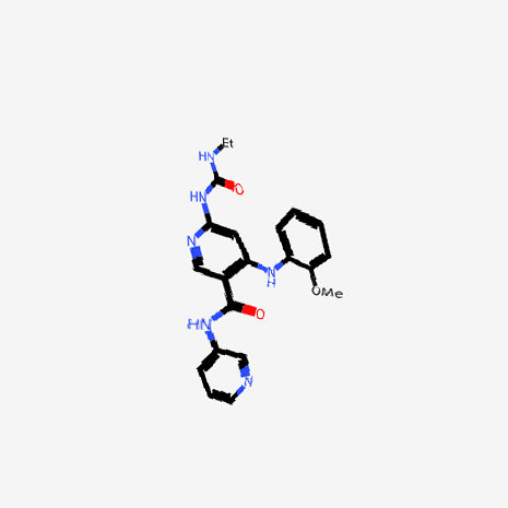 CCNC(=O)Nc1cc(Nc2ccccc2OC)c(C(=O)Nc2cccnc2)cn1